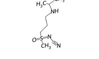 CC(C)NCCCS(C)(=O)=NC#N